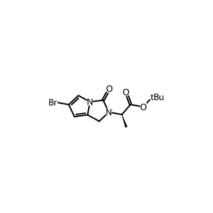 C[C@H](C(=O)OC(C)(C)C)N1Cc2cc(Br)cn2C1=O